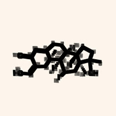 CC1(O)CC[C@H]2[C@@H]3CCC4=CC(=O)C(=CO)C[C@]4(C)[C@@H]3C(F)C[C@@]21C